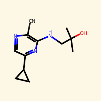 CC(C)(O)CNc1nc(C2CC2)cnc1C#N